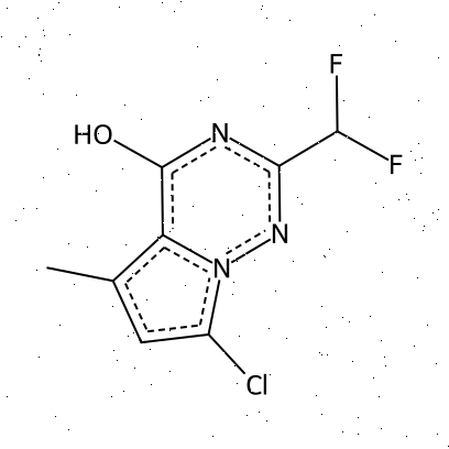 Cc1cc(Cl)n2nc(C(F)F)nc(O)c12